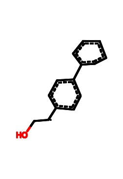 OC[CH]c1ccc(-c2ccccc2)cc1